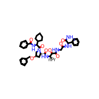 CCCC(NC(=O)[C@@H]1C[C@@H](OCc2ccccc2)CN1C(=O)C(NC(=O)c1ccccc1)C1CCCCC1)C(=O)C(=O)NCC(=O)NC(C(N)=O)c1ccccc1